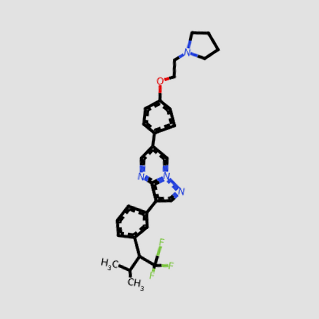 CC(C)C(c1cccc(-c2cnn3cc(-c4ccc(OCCN5CCCC5)cc4)cnc23)c1)C(F)(F)F